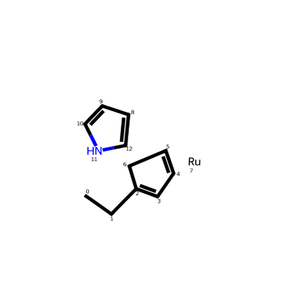 CCC1=CC=CC1.[Ru].c1cc[nH]c1